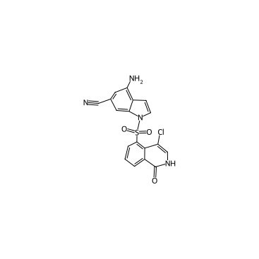 N#Cc1cc(N)c2ccn(S(=O)(=O)c3cccc4c(=O)[nH]cc(Cl)c34)c2c1